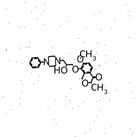 COc1ccc2c(c1OCC(O)CN1CCN(c3ccccc3)CC1)COC(C)C2=O